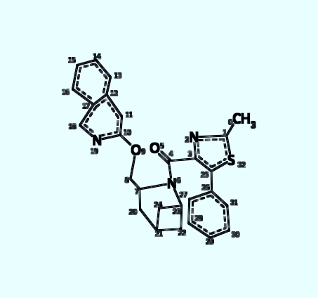 Cc1nc(C(=O)N2C(COc3cc4ccccc4cn3)CC3CC2C3)c(-c2ccccc2)s1